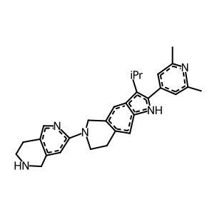 Cc1cc(-c2[nH]c3cc4c(cc3c2C(C)C)CN(c2cc3c(cn2)CCNC3)CC4)cc(C)n1